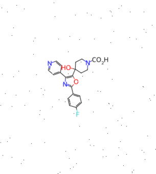 O=C(O)N1CCC(O)(c2oc(-c3ccc(F)cc3)nc2-c2ccncc2)CC1